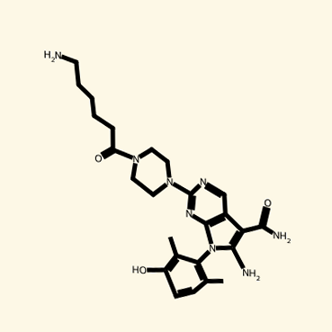 Cc1ccc(O)c(C)c1-n1c(N)c(C(N)=O)c2cnc(N3CCN(C(=O)CCCCCN)CC3)nc21